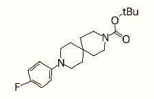 CC(C)(C)OC(=O)N1CCC2(CC1)CCN(c1ccc(F)cc1)CC2